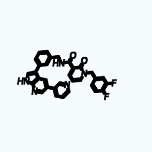 O=C(NCc1cccc(-c2c[nH]c3ncc(-c4cccnc4)cc23)c1)c1cccn(Cc2ccc(F)c(F)c2)c1=O